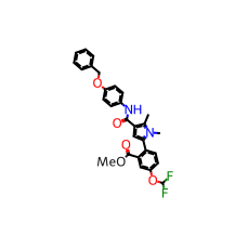 COC(=O)c1cc(OC(F)F)ccc1-c1cc(C(=O)Nc2ccc(OCc3ccccc3)cc2)c(C)n1C